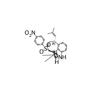 CC(C)=C[C@H]1CCC[C@]23c4c(cccc41)N[C@H]2OC(C)(C)N3S(=O)(=O)c1ccc([N+](=O)[O-])cc1